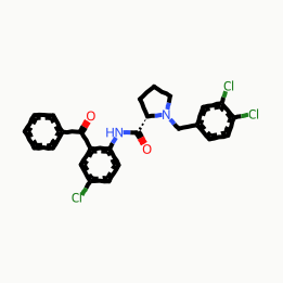 O=C(c1ccccc1)c1cc(Cl)ccc1NC(=O)[C@@H]1CCCN1Cc1ccc(Cl)c(Cl)c1